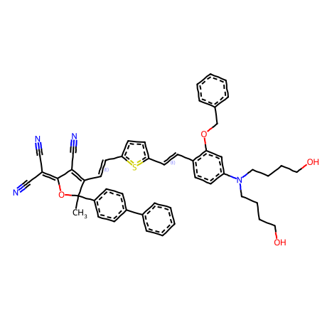 CC1(c2ccc(-c3ccccc3)cc2)OC(=C(C#N)C#N)C(C#N)=C1/C=C/c1ccc(/C=C/c2ccc(N(CCCCO)CCCCO)cc2OCc2ccccc2)s1